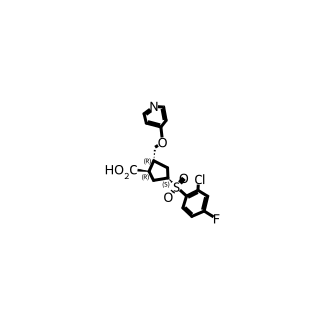 O=C(O)[C@@H]1C[C@@H](S(=O)(=O)c2ccc(F)cc2Cl)C[C@H]1COc1ccncc1